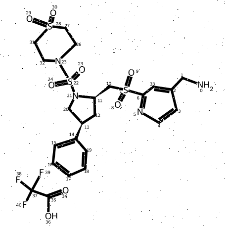 NCc1ccnc(S(=O)(=O)C[C@H]2C[C@@H](c3ccccc3)CN2S(=O)(=O)N2CCS(=O)(=O)CC2)c1.O=C(O)C(F)(F)F